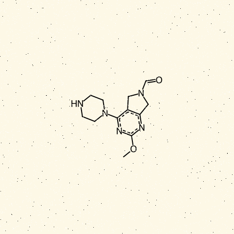 COc1nc2c(c(N3CCNCC3)n1)CN(C=O)C2